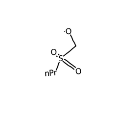 CCCS(=O)(=O)C[O]